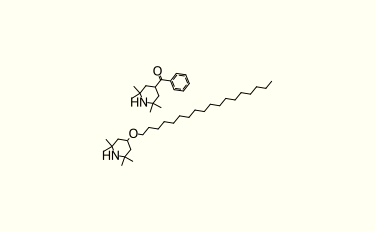 CC1(C)CC(C(=O)c2ccccc2)CC(C)(C)N1.CCCCCCCCCCCCCCCCCCOC1CC(C)(C)NC(C)(C)C1